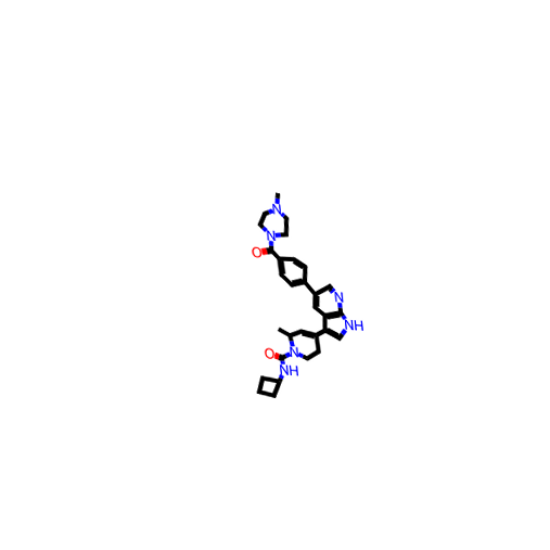 CC1C=C(c2c[nH]c3ncc(-c4ccc(C(=O)N5CCN(C)CC5)cc4)cc23)CCN1C(=O)NC1CCC1